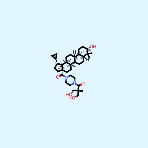 CC(CO)(CO)C(=O)N1CCN(C(=O)[C@]23CC[C@@H](C4CC4)[C@@H]2[C@H]2CC[C@@H]4[C@@]5(C)CC[C@H](O)C(C)(C)[C@@H]5CC[C@@]4(C)[C@]2(C)CC3)CC1